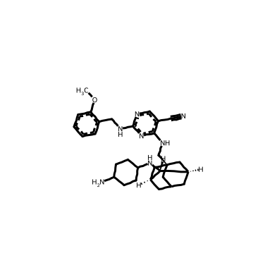 COc1ccccc1CNc1ncc(C#N)c(NC[C@]23CC4C[C@H](C2)[C@@H](NC2CCC(N)CC2)[C@@H](C4)C3)n1